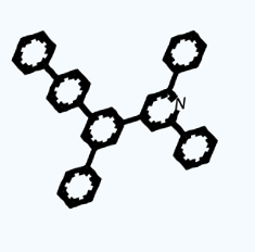 c1ccc(-c2ccc(-c3cc(-c4ccccc4)cc(-c4cc(-c5ccccc5)nc(-c5ccccc5)c4)c3)cc2)cc1